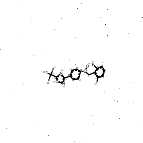 [O-][S+](Cc1c(F)cccc1F)c1ccc(-c2noc(C(F)(F)F)n2)cc1